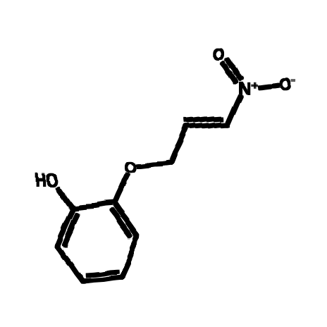 O=[N+]([O-])C=CCOc1ccccc1O